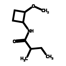 CCC(C)C(=O)NC1CCC1OC